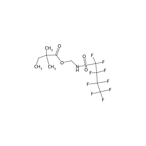 CCC(C)(C)C(=O)OCNS(=O)(=O)C(F)(F)C(F)(F)C(F)(F)C(F)(F)F